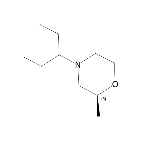 CCC(CC)N1CCO[C@@H](C)C1